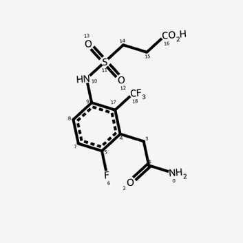 NC(=O)Cc1c(F)ccc(NS(=O)(=O)CCC(=O)O)c1C(F)(F)F